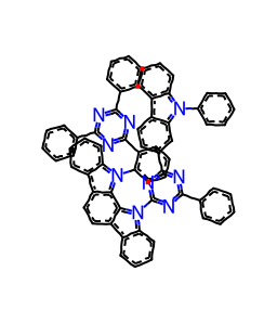 c1ccc(-c2nc(-c3ccccc3)nc(-c3ccccc3-n3c4ccccc4c4ccc5c6ccccc6n(-c6nc(-c7ccccc7)nc(-c7ccc8c9ccccc9n(-c9ccccc9)c8c7)n6)c5c43)n2)cc1